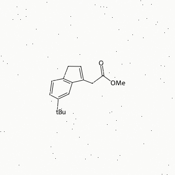 COC(=O)CC1=CCc2ccc(C(C)(C)C)cc21